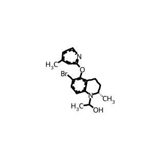 Cc1ccnc(Oc2c(Br)ccc3c2CC[C@H](C)N3C(C)O)c1